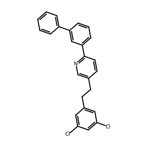 Clc1cc(Cl)cc(CCc2ccc(-c3cccc(-c4ccccc4)c3)nc2)c1